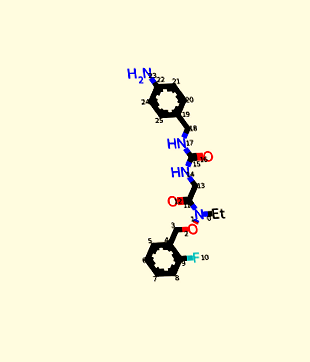 CCN(OCc1ccccc1F)C(=O)CNC(=O)NCc1ccc(N)cc1